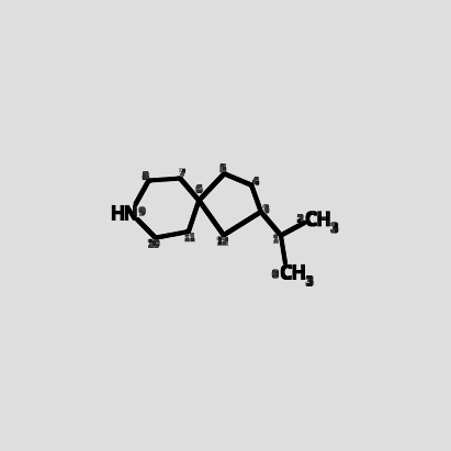 CC(C)C1CCC2(CCNCC2)C1